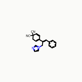 N#CC1(C#N)C=CC(/C(=C/c2ccccc2)Cn2ccnc2)=CC1